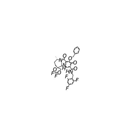 C[C@H]1CC[C@]2(COC(F)(F)O2)[C@H]2CN1C(=O)c1c(OCc3ccccc3)c(=O)c(C(=O)NCc3c(F)cc(F)cc3F)cn12